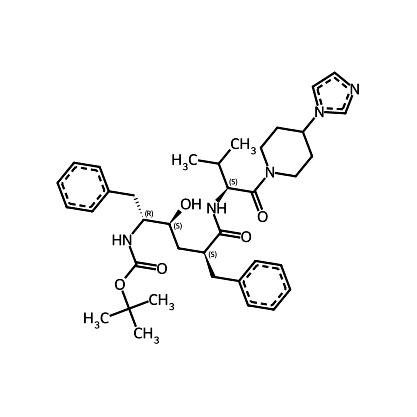 CC(C)[C@H](NC(=O)[C@@H](Cc1ccccc1)C[C@H](O)[C@@H](Cc1ccccc1)NC(=O)OC(C)(C)C)C(=O)N1CCC(n2ccnc2)CC1